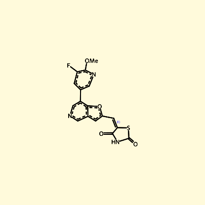 COc1ncc(-c2cncc3cc(/C=C4/SC(=O)NC4=O)oc23)cc1F